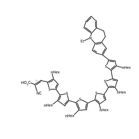 [C-]#[N+]/C(=C\c1sc(-c2sc(-c3sc(-c4sc(-c5sc(-c6sc(-c7ccc8c(c7)CCc7ccccc7N8CC)cc6CCCCCC)cc5CCCCCC)cc4CCCCCC)cc3CCCCCC)cc2CCCCCC)cc1CCCCCC)C(=O)O